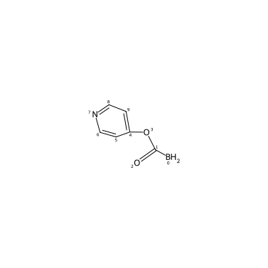 BC(=O)Oc1ccncc1